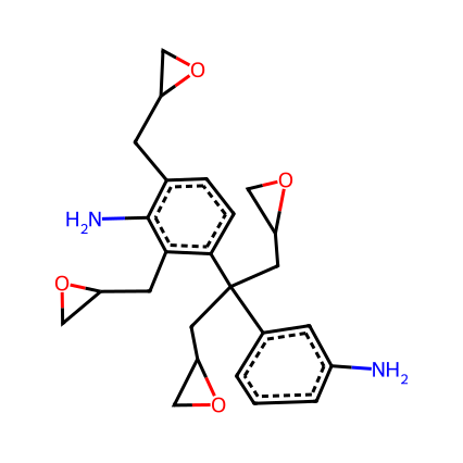 Nc1cccc(C(CC2CO2)(CC2CO2)c2ccc(CC3CO3)c(N)c2CC2CO2)c1